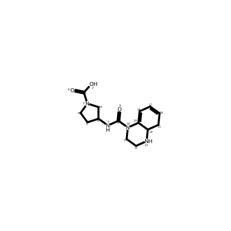 O=C(O)N1CCC(NC(=O)N2CCNC3CC=CC=C32)C1